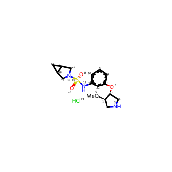 CO[C@@H]1CNC[C@H]1Oc1cccc(NS(=O)(=O)N2CC3CC3C2)c1.Cl